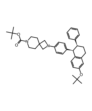 CC(C)(C)OC(=O)N1CCC2(CC1)CN(c1ccc([C@@H]3c4ccc(OC(C)(C)C)cc4CC[C@@H]3c3ccccc3)cc1)C2